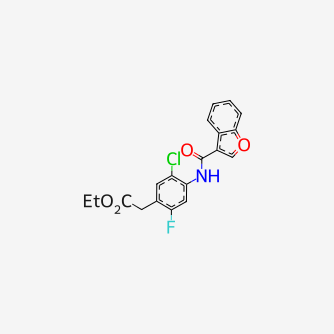 CCOC(=O)Cc1cc(Cl)c(NC(=O)c2coc3ccccc23)cc1F